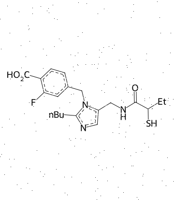 CCCCc1ncc(CNC(=O)C(S)CC)n1Cc1ccc(C(=O)O)c(F)c1